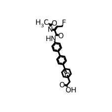 Cc1nc(C(=O)Nc2ccc(-c3ccc(C45CCC(CC(=O)O)(CC4)OC5)cc3)cc2)c(CF)o1